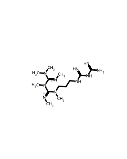 C/N=C(\N(C)C)N(C)/C(=N/C)N(C)CCCNC(=N)NC(=N)N